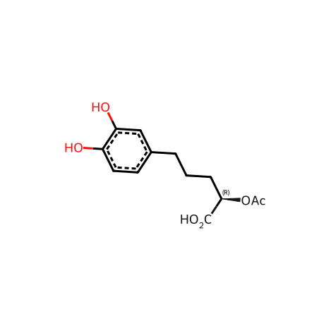 CC(=O)O[C@H](CCCc1ccc(O)c(O)c1)C(=O)O